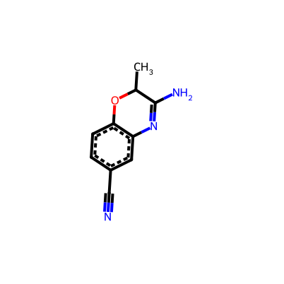 CC1Oc2ccc(C#N)cc2N=C1N